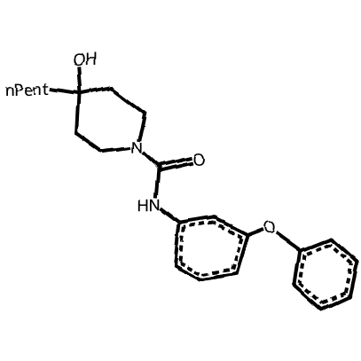 CCCCCC1(O)CCN(C(=O)Nc2cccc(Oc3ccccc3)c2)CC1